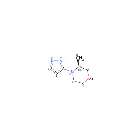 C[C@H]1COCCN1c1ccn[nH]1